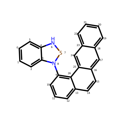 c1ccc2c(c1)NSN2c1cccc2ccc3cc4ccccc4cc3c12